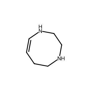 C1=CNCCNCC1